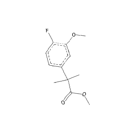 COC(=O)C(C)(C)c1ccc(F)c(OC)c1